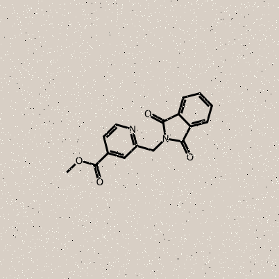 COC(=O)c1ccnc(CN2C(=O)c3ccccc3C2=O)c1